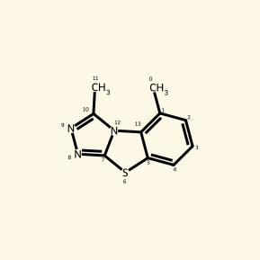 Cc1cccc2sc3nnc(C)n3c12